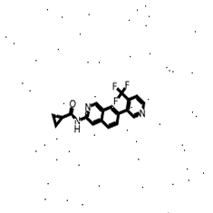 O=C(Nc1cc2ccc(-c3cnccc3C(F)(F)F)cc2cn1)C1CC1